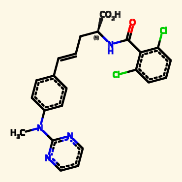 CN(c1ccc(C=CC[C@H](NC(=O)c2c(Cl)cccc2Cl)C(=O)O)cc1)c1ncccn1